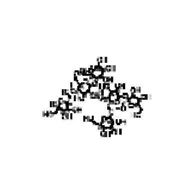 OC[C@H]1O[C@@H](O[C@H]2[C@H](O)[C@@H](O)[C@H](O)O[C@@H]2CO)[C@H](O)[C@@H](O)[C@H]1O.OC[C@H]1O[C@H](OC[C@H]2O[C@H](O[C@]3(CO)O[C@H](CO)[C@@H](O)[C@@H]3O)[C@H](O)[C@@H](O)[C@@H]2O)[C@H](O)[C@@H](O)[C@H]1O.OC[C@H]1O[C@](O)(CO)[C@@H](O)[C@@H]1O